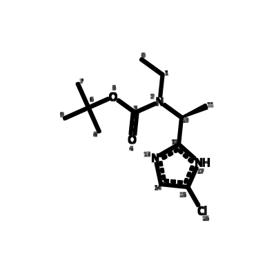 CCN(C(=O)OC(C)(C)C)[C@@H](C)c1ncc(Cl)[nH]1